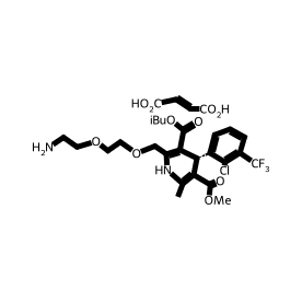 COC(=O)C1=C(C)NC(COCCOCCN)=C(C(=O)OCC(C)C)[C@@H]1c1cccc(C(F)(F)F)c1Cl.O=C(O)C=CC(=O)O